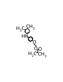 C=C(C)C(=O)OCCOc1ccc(NC2=CCC(C)C(C)=C2)cc1